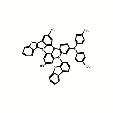 CC(C)(C)c1ccc(N(c2ccc(C(C)(C)C)cc2)c2ccc3c(c2)N(c2cccc4c2sc2ccccc24)c2cc(C(C)(C)C)cc4c2B3c2cc(C(C)(C)C)cc3c5sc6ccccc6c5n-4c23)cc1